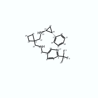 FC(F)(F)c1ccc(CNCC2(CN[C@H]3C[C@@H]3c3ccccc3)CCC2)cn1